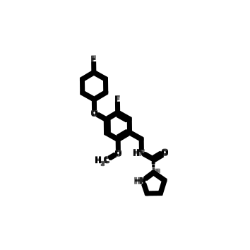 COc1cc(OC2CCC(F)CC2)c(F)cc1CNC(=O)[C@@H]1CCCN1